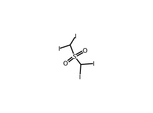 O=S(=O)(C(I)I)C(I)I